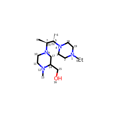 CCN1CCN([C@@H](C)[C@H](C)N2CCN(C)C(CO)C2)CC1